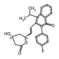 CC(C)c1c(C=C[C@@H]2C[C@@H](O)CC(=O)O2)n(-c2ccc(F)cc2)c(=O)c2ccccc12